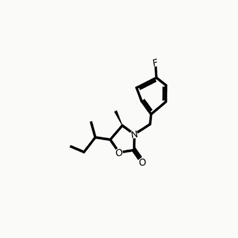 CCC(C)C1OC(=O)N(Cc2ccc(F)cc2)[C@@H]1C